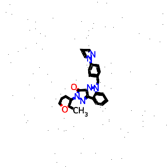 CC1OCCCC1n1nc2c3ccccc3n(Cc3ccc(-n4cccn4)cc3)nc-2c1=O